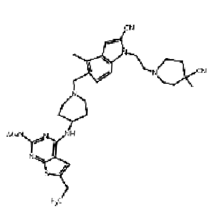 CNc1nc(NC2CCN(Cc3ccc4c(cc(C#N)n4CCN4CCC(C)(C#N)CC4)c3C)CC2)c2cc(CC(F)(F)F)sc2n1